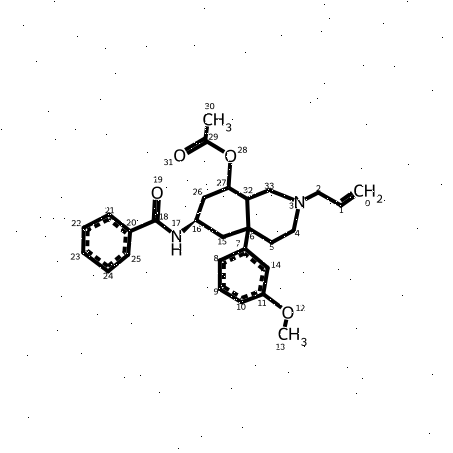 C=CCN1CCC2(c3cccc(OC)c3)C[C@@H](NC(=O)c3ccccc3)CC(OC(C)=O)C2C1